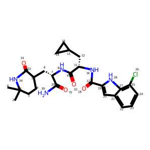 CC1(C)CCC(C[C@H](NC(=O)[C@H](CC2CC2)NC(=O)c2cc3cccc(Cl)c3[nH]2)C(N)=O)C(=O)N1